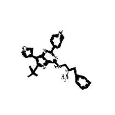 CC(C)(C)c1sc2c(NC[C@@H](N)Cc3ccccc3)nc(-c3ccncc3)nc2c1-c1ccoc1